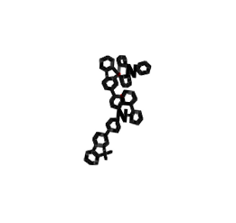 CC1(C)c2ccccc2-c2ccc(-c3ccc(N(c4ccc(-c5ccc6c(c5)C5(c7ccccc7-6)c6ccccc6N(c6ccccc6)c6ccccc65)cc4)c4ccccc4-c4ccccc4)cc3)cc21